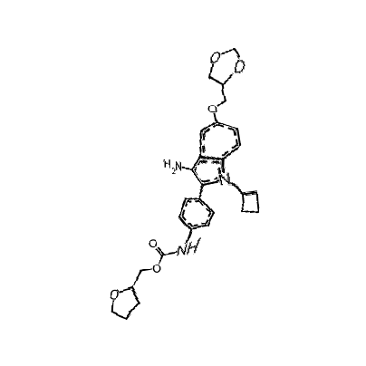 Nc1c(-c2ccc(NC(=O)OC[C@H]3CCCO3)cc2)n(C2CCC2)c2ccc(OCC3COCO3)cc12